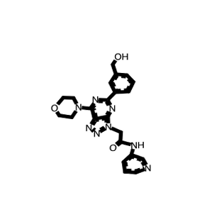 O=C(Cn1nnc2c(N3CCOCC3)nc(-c3cccc(CO)c3)nc21)Nc1cccnc1